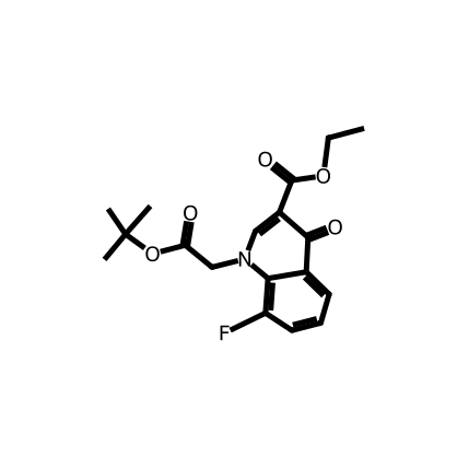 CCOC(=O)c1cn(CC(=O)OC(C)(C)C)c2c(F)cccc2c1=O